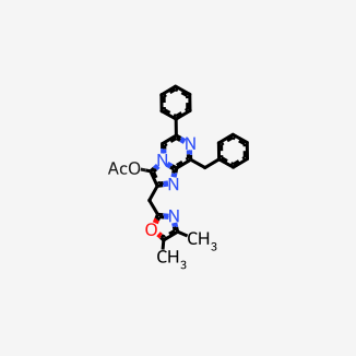 CC(=O)Oc1c(Cc2nc(C)c(C)o2)nc2c(Cc3ccccc3)nc(-c3ccccc3)cn12